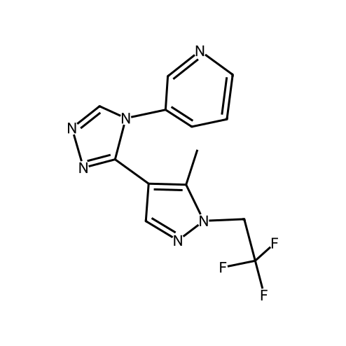 Cc1c(-c2nncn2-c2cccnc2)cnn1CC(F)(F)F